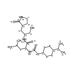 CC(C)CC(NC(=O)OC1CCC(C(C)C)CC1)C(=O)NC(CO)CC1CCNC1=O